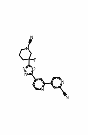 N#Cc1cc(-c2cc(-c3nnc(C4(F)CCCN(C#N)C4)o3)ccn2)ccn1